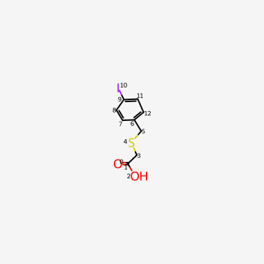 O=C(O)CSCc1ccc(I)cc1